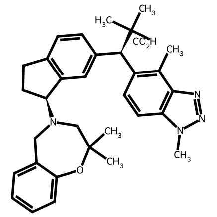 Cc1c([C@@H](c2ccc3c(c2)[C@@H](N2Cc4ccccc4OC(C)(C)C2)CC3)C(C)(C)C(=O)O)ccc2c1nnn2C